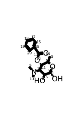 CC1O[C@@H](O)C(O)C(N(C)C)[C@@H]1OC(=O)c1ccccc1